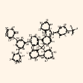 CC(C)(C)c1ccc(-n2c3ccccc3c3cc(C4(c5cccc(-c6cc(-c7cccnc7)cc(-c7cccnc7)c6)c5)c5ccccc5-c5ccccc54)ccc32)cc1